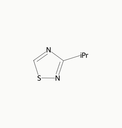 CC(C)c1ncsn1